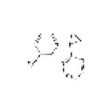 FC(F)(F)c1cccc(C2(c3ncccn3)CC2)c1